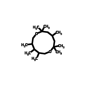 CC1CC(C)(C)OCC(C)C(C)C(C)COC(C)(C)C1